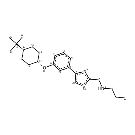 CCCNCc1nc(-c2cccc(O[C@H]3CC[C@H](C(C)(C)C)CC3)c2)cs1